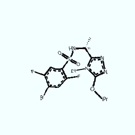 CCn1c(OC(C)C)nnc1[C@@H](C)NS(=O)(=O)c1cc(F)c(Br)cc1F